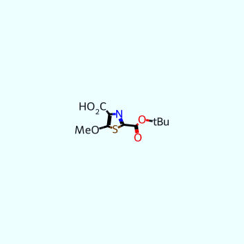 COc1sc(C(=O)OC(C)(C)C)nc1C(=O)O